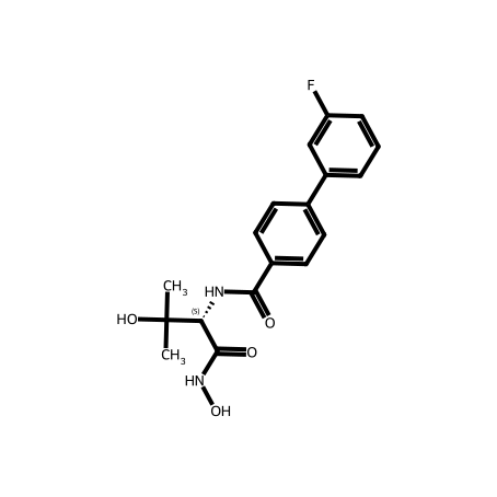 CC(C)(O)[C@H](NC(=O)c1ccc(-c2cccc(F)c2)cc1)C(=O)NO